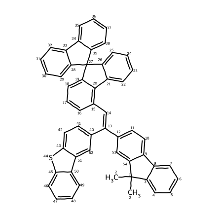 CC1(C)c2ccccc2-c2ccc(/C(=C/c3cccc4c3-c3ccccc3C43c4ccccc4-c4ccccc43)c3ccc4sc5ccccc5c4c3)cc21